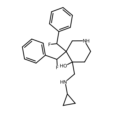 OC1(CNC2CC2)CCNCC1(C(F)c1ccccc1)C(F)c1ccccc1